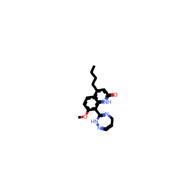 CCCCc1cc(=O)[nH]c2c(C3=NCC=C=NN3)c(OC)ccc12